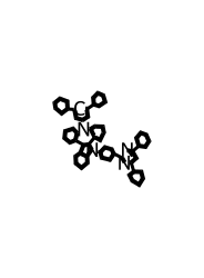 c1ccc(-c2cc(-c3ccccc3)cc(N3c4ccccc4-c4c(n(-c5ccc(-c6nc(-c7ccccc7)cc(-c7ccccc7)n6)cc5)c5ccccc45)-c4ccccc43)c2)cc1